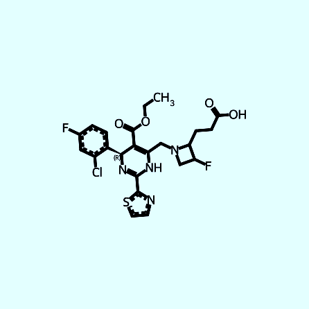 CCOC(=O)C1=C(CN2CC(F)C2CCC(=O)O)NC(c2nccs2)=N[C@H]1c1ccc(F)cc1Cl